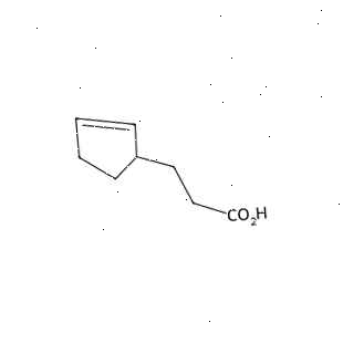 O=C(O)CCC1C=CCC1